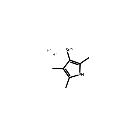 Cc1[pH]c(C)[c]([Sc+2])c1C.[H-].[H-]